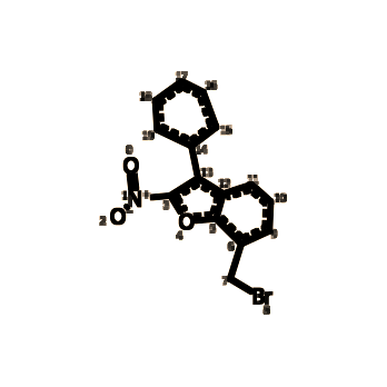 O=[N+]([O-])c1oc2c(CBr)cccc2c1-c1ccccc1